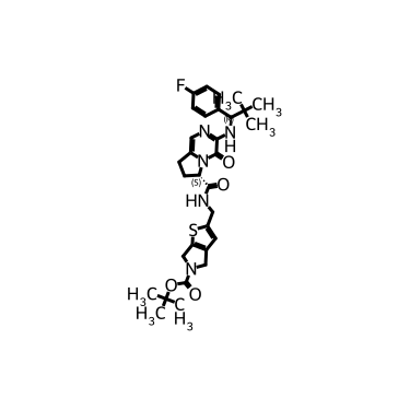 CC(C)(C)OC(=O)N1Cc2cc(CNC(=O)[C@@H]3CCc4cnc(N[C@@H](c5ccc(F)cc5)C(C)(C)C)c(=O)n43)sc2C1